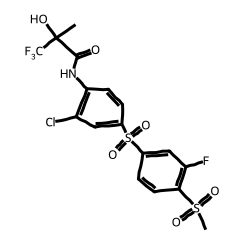 CC(O)(C(=O)Nc1ccc(S(=O)(=O)c2ccc(S(C)(=O)=O)c(F)c2)cc1Cl)C(F)(F)F